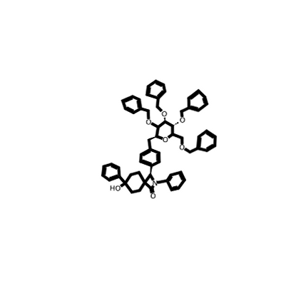 O=C1N(c2ccccc2)[C@H](c2ccc(C[C@@H]3OC(COCc4ccccc4)[C@@H](OCc4ccccc4)[C@@H](OCc4ccccc4)C3OCc3ccccc3)cc2)C12CCC(O)(c1ccccc1)CC2